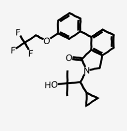 CC(C)(O)C(C1CC1)N1Cc2cccc(-c3cccc(OCC(F)(F)F)c3)c2C1=O